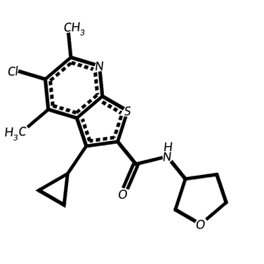 Cc1nc2sc(C(=O)NC3CCOC3)c(C3CC3)c2c(C)c1Cl